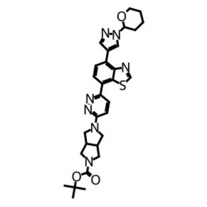 CC(C)(C)OC(=O)N1CC2CN(c3ccc(-c4ccc(-c5cnn(C6CCCCO6)c5)c5ncsc45)nn3)CC2C1